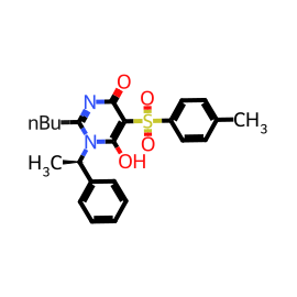 CCCCc1nc(=O)c(S(=O)(=O)c2ccc(C)cc2)c(O)n1[C@H](C)c1ccccc1